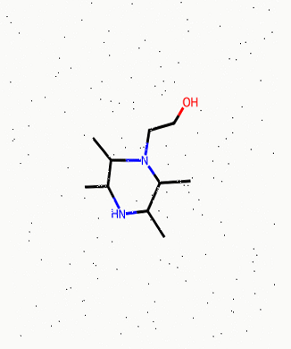 CC1NC(C)C(C)N(CCO)C1C